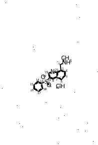 CNCc1cccc2cc(S(=O)(=O)c3ccccc3)cnc12.Cl